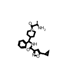 C[C@@H](N)C(=O)N1CCC(C(NC(=O)c2cc(C3CC3)on2)c2ccccc2)CC1